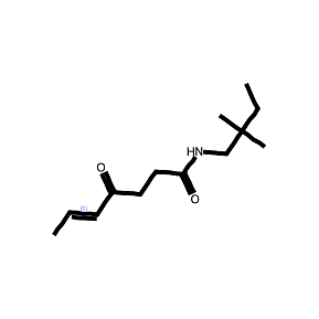 C/C=C/C(=O)CCC(=O)NCC(C)(C)CC